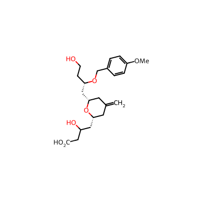 C=C1C[C@H](CC(O)CC(=O)O)O[C@H](C[C@H](CCO)OCc2ccc(OC)cc2)C1